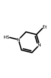 CCC1=NC=CN(S)C1